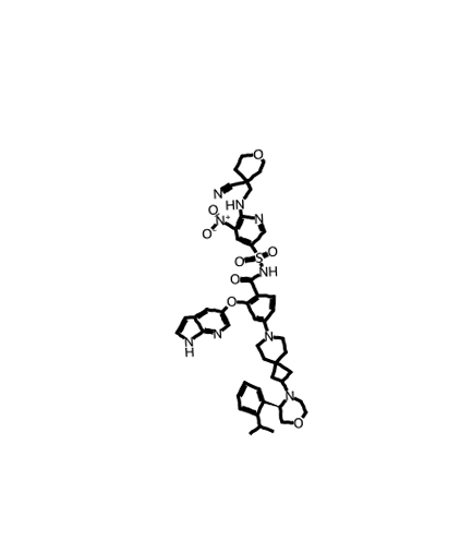 CC(C)c1ccccc1[C@@H]1COCCN1C1CC2(CCN(c3ccc(C(=O)NS(=O)(=O)c4cnc(NCC5(C#N)CCOCC5)c([N+](=O)[O-])c4)c(Oc4cnc5[nH]ccc5c4)c3)CC2)C1